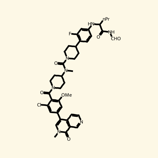 CCCC(Nc1ccc(C2CCN(C(=O)N(C)C3CCN(C(=O)c4c(Cl)cc(-c5cn(C)c(=O)c6cnccc56)cc4OC)CC3)CC2)c(F)c1)C(=O)NC=O